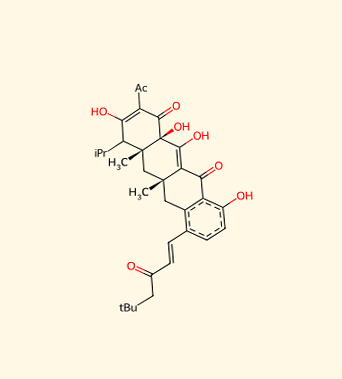 CC(=O)C1=C(O)C(C(C)C)[C@@]2(C)C[C@@]3(C)Cc4c(/C=C/C(=O)CC(C)(C)C)ccc(O)c4C(=O)C3=C(O)[C@@]2(O)C1=O